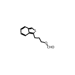 O=COCCCc1scc2ccccc12